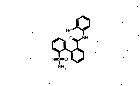 NS(=O)(=O)c1ccccc1-c1ccccc1C(=O)Nc1ccccc1O